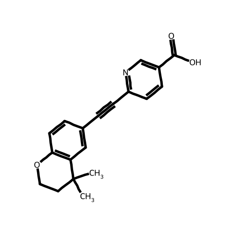 CC1(C)CCOc2ccc(C#Cc3ccc(C(=O)O)cn3)cc21